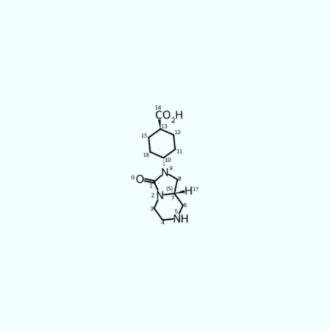 O=C1N2CCNC[C@H]2CN1[C@H]1CC[C@H](C(=O)O)CC1